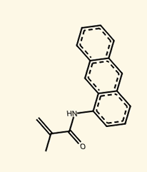 C=C(C)C(=O)Nc1cccc2cc3ccccc3cc12